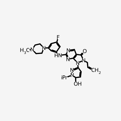 C=CCn1c(=O)c2cnc(Nc3cc(F)cc(N4CCN(C)CC4)c3)nc2n1C1=NN(C(C)C)C(O)C=C1